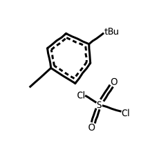 Cc1ccc(C(C)(C)C)cc1.O=S(=O)(Cl)Cl